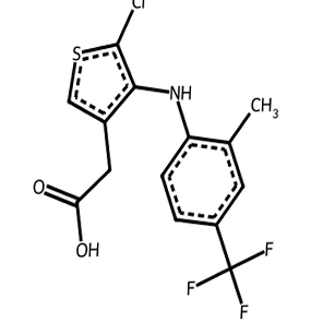 Cc1cc(C(F)(F)F)ccc1Nc1c(CC(=O)O)csc1Cl